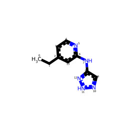 CCc1ccnc(Nc2cn[nH]n2)c1